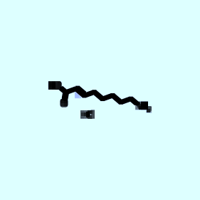 Cl.NCCCCC/C=C/C(=O)O